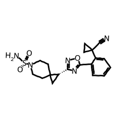 N#CC1(c2ccccc2-c2nc([C@@H]3CC34CCN(S(N)(=O)=O)CC4)no2)CC1